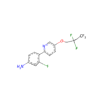 Nc1ccc(-c2ccc(OCC(F)(F)C(F)(F)F)cn2)c(F)c1